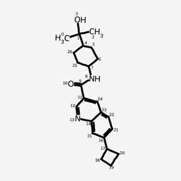 CC(C)(O)C1CCC(NC(=O)c2cnc3cc(C4CCC4)ccc3c2)CC1